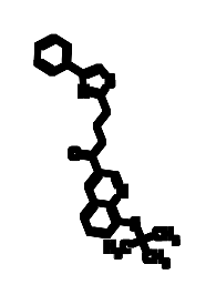 CC(C)(C)Sc1cccc2cc(C(=O)CCCc3nc(-c4ccccc4)cs3)cnc12